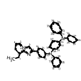 CCc1cccn2cc(-c3ccc(N(c4ccccc4)c4ccc(N(c5ccccc5)c5ccccc5)cc4)cc3)nc12